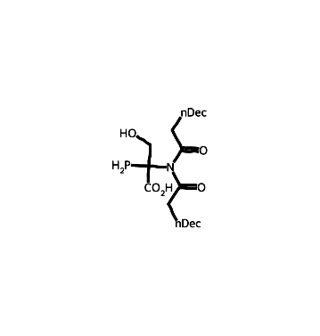 CCCCCCCCCCCC(=O)N(C(=O)CCCCCCCCCCC)C(P)(CO)C(=O)O